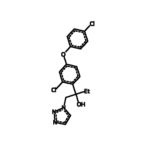 CCC(O)(Cn1ccnn1)c1ccc(Oc2ccc(Cl)cc2)cc1Cl